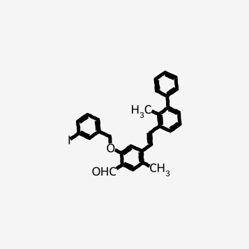 Cc1cc(C=O)c(OCc2cccc(I)c2)cc1/C=C/c1cccc(-c2ccccc2)c1C